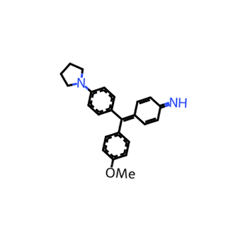 COc1ccc(C(=C2C=CC(=N)C=C2)c2ccc(N3CCCC3)cc2)cc1